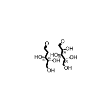 O=CC[C@H](O)[C@H](O)CO.O=C[C@@H](O)[C@H](O)[C@H](O)CO